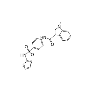 Cn1cc(C(=O)Nc2ccc(S(=O)(=O)Nc3nccs3)cc2)c2ccccc21